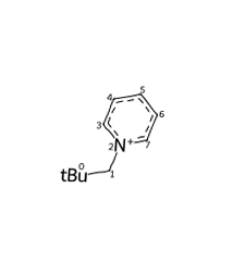 CC(C)(C)C[n+]1ccccc1